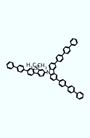 C[Si]1(C)c2cc(-c3ccc(-c4ccccc4)cc3)ccc2-c2ccc(-n3c4ccc(-c5ccc(-c6ccc(-c7ccccc7)cc6)cc5)cc4c4cc(-c5ccc(-c6ccc(-c7ccccc7)cc6)cc5)ccc43)cc21